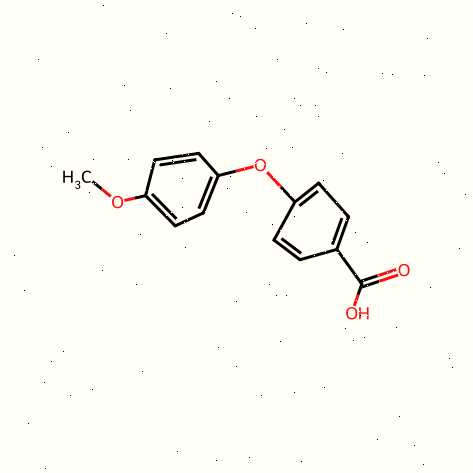 COc1ccc(Oc2ccc(C(=O)O)cc2)cc1